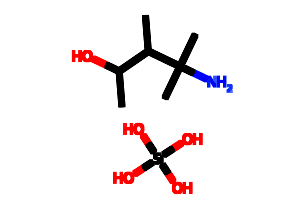 CC(O)C(C)C(C)(C)N.O[Si](O)(O)O